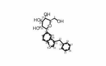 OC[C@H]1O[C@@H](c2ccc3scc(Cc4ccccc4)c3c2)[C@H](O)[C@@H](O)[C@@H]1O